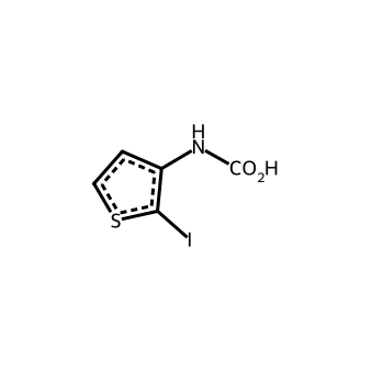 O=C(O)Nc1ccsc1I